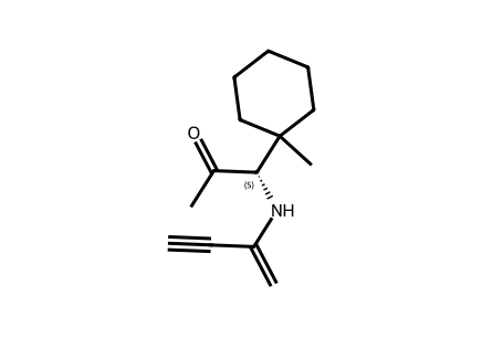 C#CC(=C)N[C@H](C(C)=O)C1(C)CCCCC1